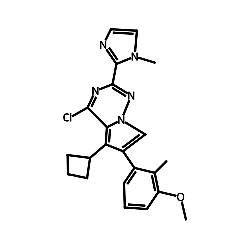 COc1cccc(-c2cn3nc(-c4nccn4C)nc(Cl)c3c2C2CCC2)c1C